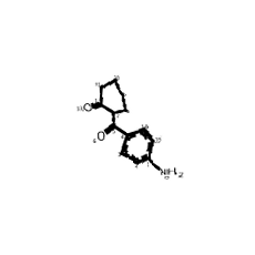 Nc1ccc(C(=O)C2CCCCC2=O)cc1